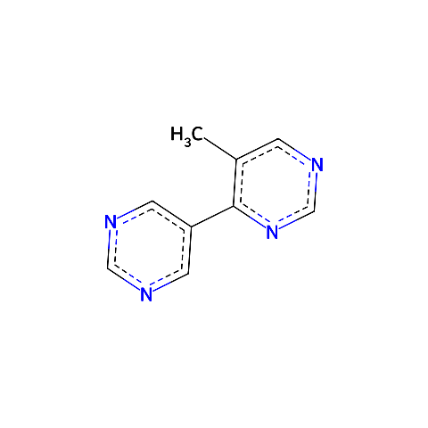 Cc1cncnc1-c1cncnc1